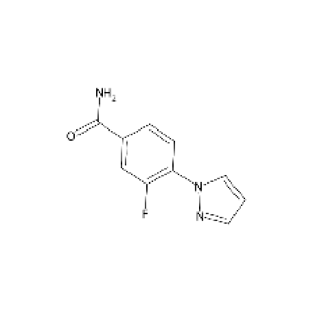 NC(=O)c1ccc(-n2cccn2)c(F)c1